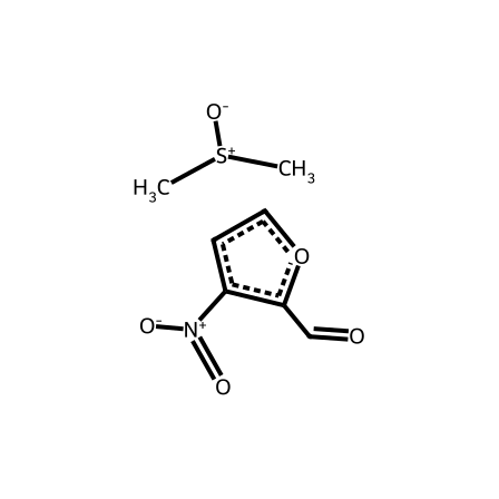 C[S+](C)[O-].O=Cc1occc1[N+](=O)[O-]